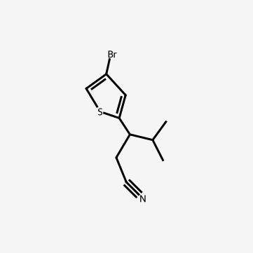 CC(C)C(CC#N)c1cc(Br)cs1